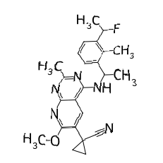 COc1nc2nc(C)nc(NC(C)c3cccc(C(C)F)c3C)c2cc1C1(C#N)CC1